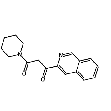 O=C(CC(=O)N1CCCCC1)c1cc2ccccc2cn1